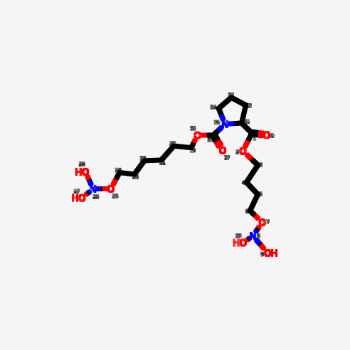 O=C(OCCCCON(O)O)C1CCCN1C(=O)OCCCCCCON(O)O